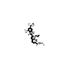 C=CCn1c(-c2nc3cc(C(=O)OC)cc(OC)c3n2C)cc2ccc([C@@H](C)N)nc21